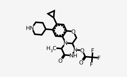 CC1C(=O)NN(OC(=O)C(F)(F)F)C2COc3cc(C4CC4)c(C4CCNCC4)cc3N12